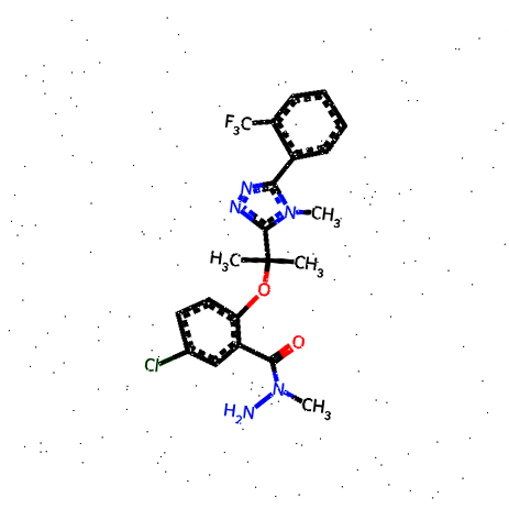 CN(N)C(=O)c1cc(Cl)ccc1OC(C)(C)c1nnc(-c2ccccc2C(F)(F)F)n1C